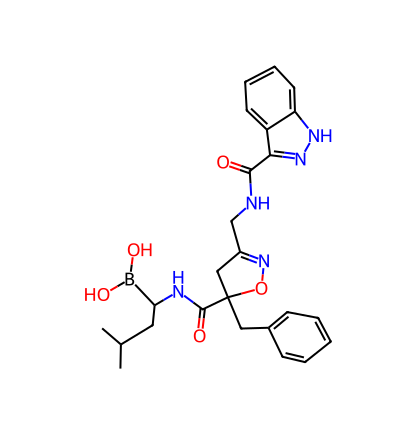 CC(C)CC(NC(=O)C1(Cc2ccccc2)CC(CNC(=O)c2n[nH]c3ccccc23)=NO1)B(O)O